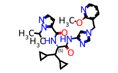 COc1ncccc1Cn1cnc(NC(=O)[C@@H](NC(=O)c2ccnn2C(C)C)C(C2CC2)C2CC2)c1